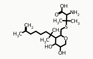 C=C(C)CCCCC(C)(C)C1C(CSC(C)(C)C(N)C(=O)O)OCC(O)C1O